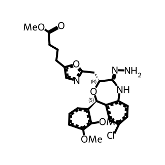 COC(=O)CCCc1cnc(C[C@H]2O[C@H](c3cccc(OC)c3OC)c3cc(Cl)ccc3NC2=NN)o1